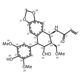 C=CC(=O)N[C@@H]1c2cc3c(cc2C(c2cc(OC)c(O)c(OC)c2)C(C=O)[C@@H]1COC)OCO3